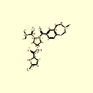 CN1CCc2ccc(C(=O)N3C[C@H](NC(=O)C4CC=C(Cl)S4)C[C@H]3C(=O)N(C)C)cc2CC1